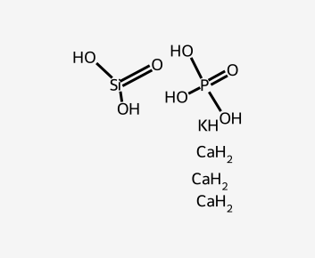 O=P(O)(O)O.O=[Si](O)O.[CaH2].[CaH2].[CaH2].[KH]